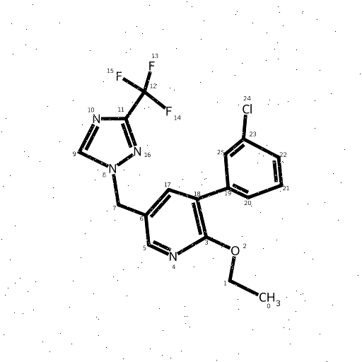 CCOc1ncc(Cn2cnc(C(F)(F)F)n2)cc1-c1cccc(Cl)c1